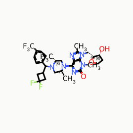 Cc1nc2c(N3C[C@@H](C)N(C(c4ccc(C(F)(F)F)cc4)C4CC(F)(F)C4)C[C@@H]3C)nc(=O)n(C)c2n1C[C@H]1OCC[C@H]1O